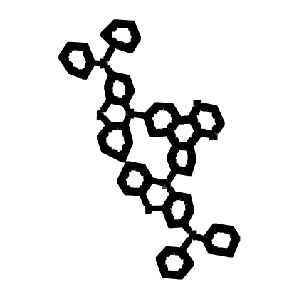 c1ccc(N(c2ccccc2)c2ccc3c(c2)Sc2ccccc2N3c2ccc3c(c2)c2cc(N4c5ccccc5Sc5cc(N(c6ccccc6)c6ccccc6)ccc54)ccc2c2nccnc32)cc1